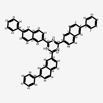 c1ccc(-c2ccc3cc(-c4nc(-c5ccc6cc(-c7ccccc7)ccc6c5)nc(-c5ccc6ccc(-c7ccccc7)cc6c5)n4)ccc3c2)cc1